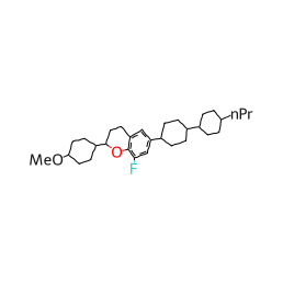 CCCC1CCC(C2CCC(c3cc(F)c4c(c3)CCC(C3CCC(OC)CC3)O4)CC2)CC1